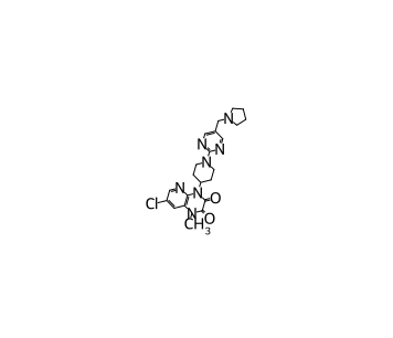 Cn1c(=O)c(=O)n(C2CCN(c3ncc(CN4CCCC4)cn3)CC2)c2ncc(Cl)cc21